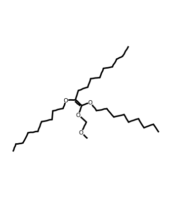 CCCCCCCCCOC(CCCCCCCCC)=C(OCCCCCCCCC)OCOC